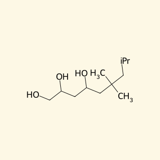 CC(C)CC(C)(C)CC(O)CC(O)CO